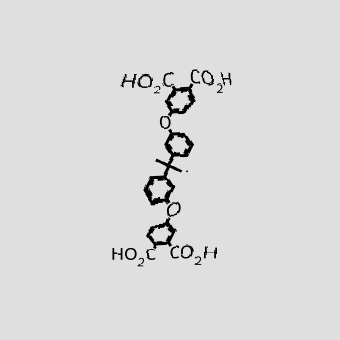 [CH2]C(C)(c1cccc(Oc2ccc(C(=O)O)c(C(=O)O)c2)c1)c1cccc(Oc2ccc(C(=O)O)c(C(=O)O)c2)c1